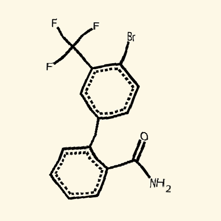 NC(=O)c1ccccc1-c1ccc(Br)c(C(F)(F)F)c1